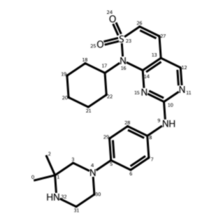 CC1(C)CN(c2ccc(Nc3ncc4c(n3)N(C3CCCCC3)S(=O)(=O)C=C4)cc2)CCN1